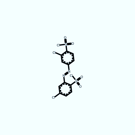 O=S(=O)(Cl)c1ccc(N=Nc2cc(Cl)ccc2S(=O)(=O)Cl)cc1Cl